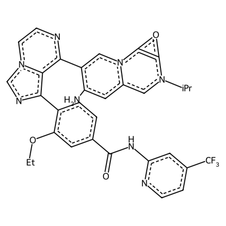 CCOc1cc(C(=O)Nc2cc(C(F)(F)F)ccn2)ccc1-c1ncn2ccnc(-c3cn4c5oc=5n(C(C)C)cc4cc3N)c12